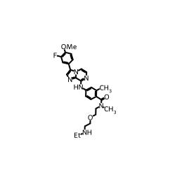 CCNCCOCCN(C)C(=O)c1ccc(Nc2nccn3c(-c4ccc(OC)c(F)c4)cnc23)cc1C